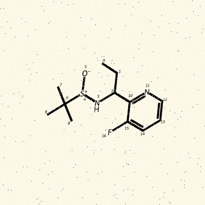 CCC(N[S+]([O-])C(C)(C)C)c1ncccc1F